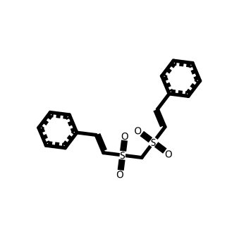 O=S(=O)(C=Cc1ccccc1)CS(=O)(=O)C=Cc1ccccc1